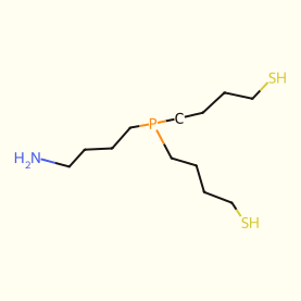 NCCCCP(CCCCS)CCCCS